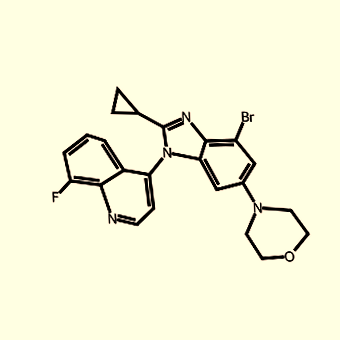 Fc1cccc2c(-n3c(C4CC4)nc4c(Br)cc(N5CCOCC5)cc43)ccnc12